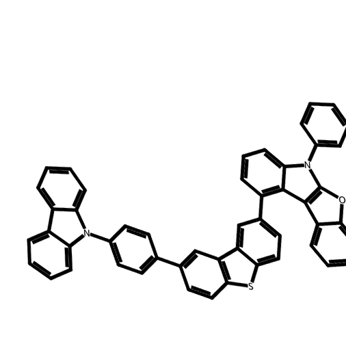 c1ccc(-n2c3cccc(-c4ccc5sc6ccc(-c7ccc(-n8c9ccccc9c9ccccc98)cc7)cc6c5c4)c3c3c4ccccc4oc32)cc1